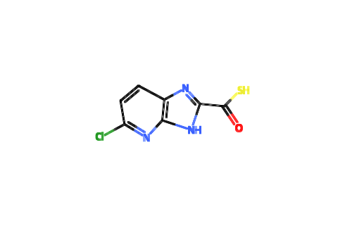 O=C(S)c1nc2ccc(Cl)nc2[nH]1